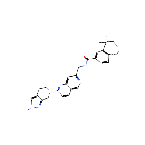 Cn1cc2c(n1)CN(c1ccc3cnc(CNC(=O)c4ccc5c(c4)[C@](C)(C#N)COC5)cc3n1)CC2